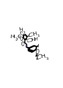 CCOc1ccc(/C=C/C(=O)c2c(O)c(C)cc(C)c2OC)cc1I